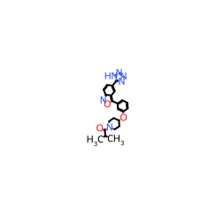 CC(C)C(=O)N1CCC(Oc2cccc(-c3onc4ccc(-c5nnn[nH]5)cc34)c2)CC1